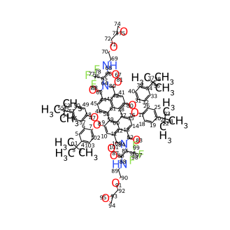 CC(C)(C)c1ccc(Oc2cc3c4c(cc(Oc5ccc(C(C)(C)C)cc5)c5c6c(Oc7ccc(C(C)(C)C)cc7)cc7c8c(cc(Oc9ccc(C(C)(C)C)cc9)c(c2c45)c86)C(=O)N(C(C(=O)NCCOCC2CO2)C(F)(F)F)C7=O)C(=O)N(C(C(=O)NCCOCC2CO2)C(F)(F)F)C3=O)cc1